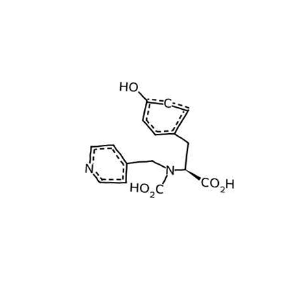 O=C(O)[C@H](Cc1ccc(O)cc1)N(Cc1ccncc1)C(=O)O